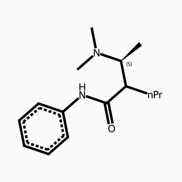 CCCC(C(=O)Nc1ccccc1)[C@H](C)N(C)C